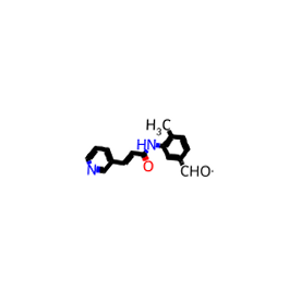 Cc1ccc([C]=O)cc1NC(=O)C=Cc1cccnc1